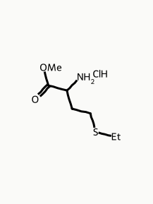 CCSCCC(N)C(=O)OC.Cl